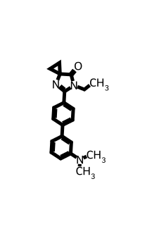 CCN1C(=O)C2(CC2)N=C1c1ccc(-c2cccc(N(C)C)c2)cc1